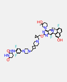 CCc1c(F)ccc2cc(O)cc(-c3ncc4c(N5CCC[C@@](C)(O)C5)nc(OCC5(CN6CCC7(CC6)CC(CN6CCN(c8cc(F)c(NC9CCC(=O)NC9=O)c(F)c8)CC6)C7)CC5)nc4c3F)c12